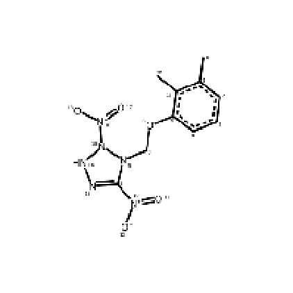 Cc1cccc(OCN2C([N+](=O)[O-])=NNN2[N+](=O)[O-])c1C